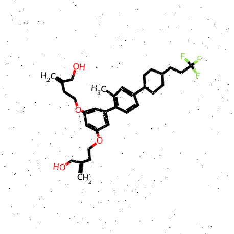 C=C(CO)CCOc1cc(OCCC(=C)CO)cc(-c2ccc(C3CCC(CCC(F)(F)F)CC3)cc2C)c1